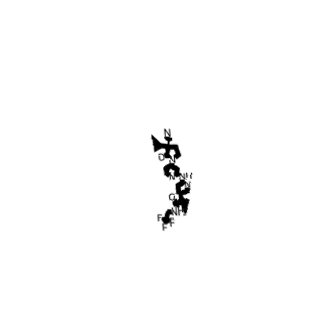 N#C[C@@]1(C2CC2)CCN(c2ccnc(Nc3ccc(C4(C(=O)NCC(F)(F)F)CC4)cn3)c2)C1=O